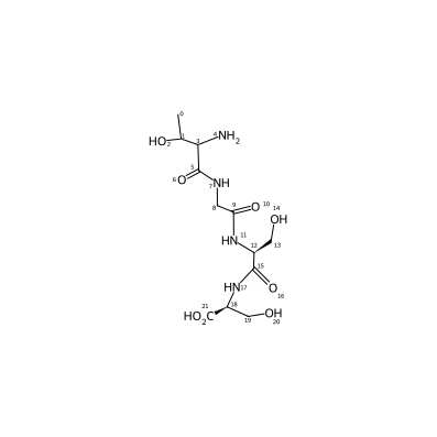 CC(O)C(N)C(=O)NCC(=O)N[C@@H](CO)C(=O)N[C@@H](CO)C(=O)O